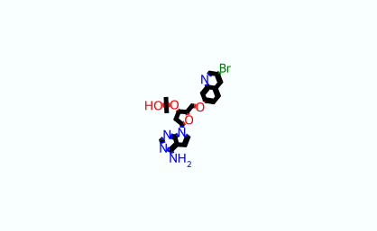 CC(C)(O)OC1CC(n2ccc3c(N)ncnc32)OC1COc1ccc2cc(Br)cnc2c1